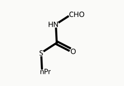 CCCSC(=O)NC=O